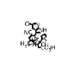 Cc1cc(C#N)c(-c2c[nH]c3ncc(Cl)cc23)nc1NC(CC(=O)O)C(C)(C)c1cccs1